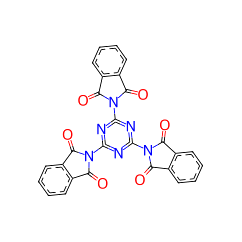 O=C1c2ccccc2C(=O)N1c1nc(N2C(=O)c3ccccc3C2=O)nc(N2C(=O)c3ccccc3C2=O)n1